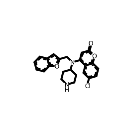 O=c1cc(N(Cc2cc3ccccc3o2)C2CCNCC2)c2cc(Cl)ccc2o1